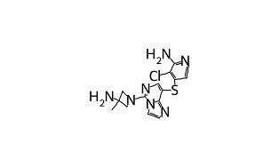 CC1(N)CN(c2ncc(Sc3ccnc(N)c3Cl)c3nccn23)C1